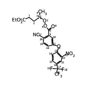 CCOC(=O)CCN(C)OOC(=O)c1cc(Oc2ccc(C(F)(F)C(F)(F)F)cc2[N+](=O)[O-])ccc1C#N